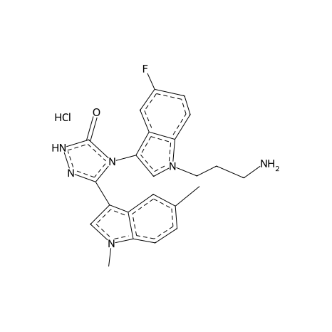 Cc1ccc2c(c1)c(-c1n[nH]c(=O)n1-c1cn(CCCN)c3ccc(F)cc13)cn2C.Cl